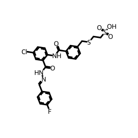 O=C(Nc1ccc(Cl)cc1C(=O)NN=Cc1ccc(F)cc1)c1cccc(CSCCS(=O)(=O)O)c1